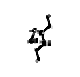 CCNOCC.OCl